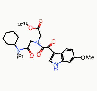 COc1ccc2c(C(=O)C(=O)N(CC(=O)OC(C)(C)C)CC(=O)N(C(C)C)C3CCCCC3)c[nH]c2c1